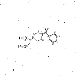 COCC(C(=O)O)C1CCN(C(=O)c2ccccc2)CC1